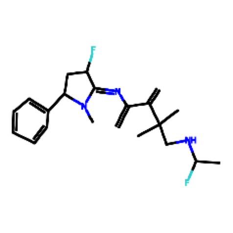 C=C(/N=C1/C(F)CC(c2ccccc2)N1C)C(=C)C(C)(C)CNC(C)F